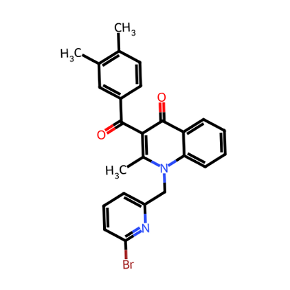 Cc1ccc(C(=O)c2c(C)n(Cc3cccc(Br)n3)c3ccccc3c2=O)cc1C